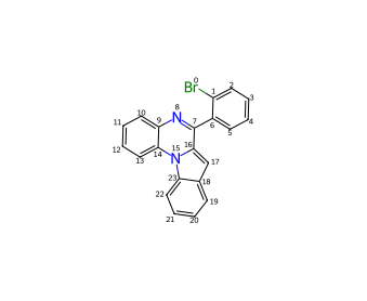 Brc1ccccc1-c1nc2ccccc2n2c1cc1ccccc12